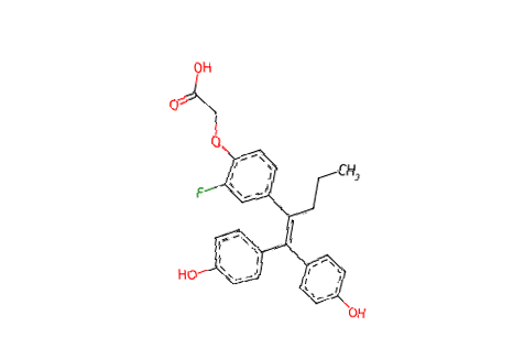 CCCC(=C(c1ccc(O)cc1)c1ccc(O)cc1)c1ccc(OCC(=O)O)c(F)c1